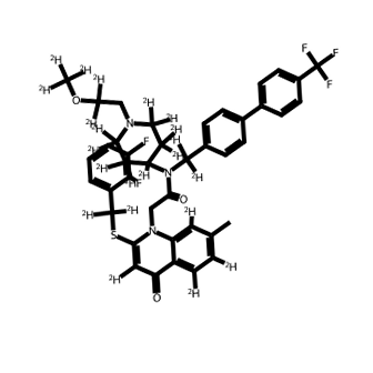 [2H]c1c(C)c([2H])c2c(c1[2H])c(=O)c([2H])c(SC([2H])([2H])c1cccc(F)c1F)n2CC(=O)N(C([2H])([2H])c1ccc(-c2ccc(C(F)(F)F)cc2)cc1)C1([2H])C([2H])([2H])C([2H])([2H])N(CC([2H])([2H])OC([2H])([2H])[2H])C([2H])([2H])C1([2H])[2H]